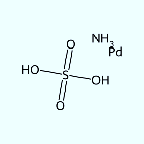 N.O=S(=O)(O)O.[Pd]